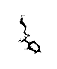 OC(NCC=CF)c1ccccc1